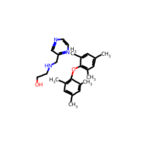 Cc1cc(C)c(Oc2c(C)cc(C)cc2C)c(C)c1.OCCNCc1cnccn1